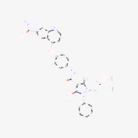 Cc1c(C(=O)Nc2ccc(Oc3ccnc4cc(C(N)=O)sc34)c(F)c2)c(=O)n(-c2ccccc2)n1CC(C)(C)O